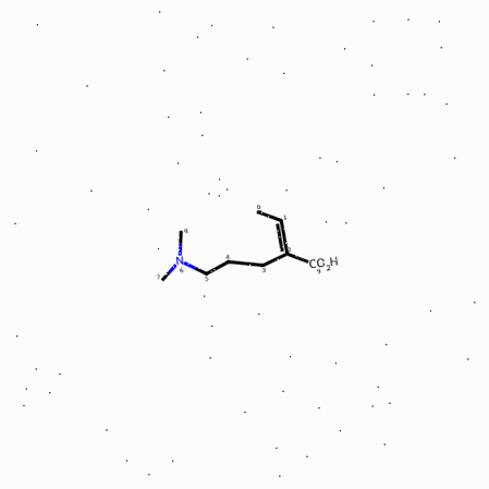 CC=C(CCCN(C)C)C(=O)O